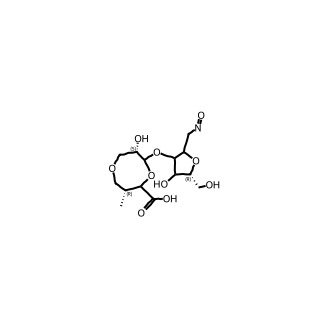 C[C@@H]1COC[C@H](O)C(OC2C(CN=O)O[C@H](CO)C2O)OC1C(=O)O